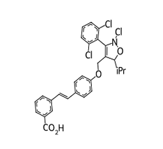 CC(C)C1ON(Cl)C(c2c(Cl)cccc2Cl)=C1COc1ccc(C=Cc2cccc(C(=O)O)c2)cc1